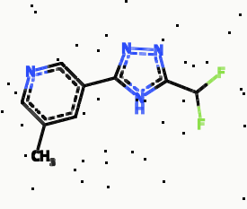 Cc1cncc(-c2nnc(C(F)F)[nH]2)c1